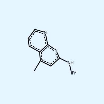 Cc1cc(NC(C)C)nc2ncccc12